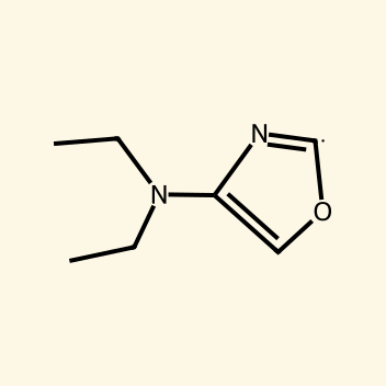 CCN(CC)c1co[c]n1